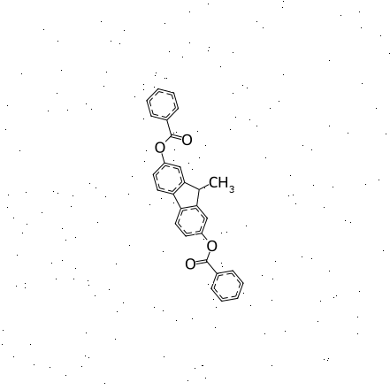 CC1c2cc(OC(=O)c3ccccc3)ccc2-c2ccc(OC(=O)c3ccccc3)cc21